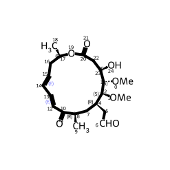 CO[C@@H]1[C@@H](OC)[C@@H](CC=O)C[C@@H](C)C(=O)/C=C/C=C/C[C@@H](C)OC(=O)C[C@H]1O